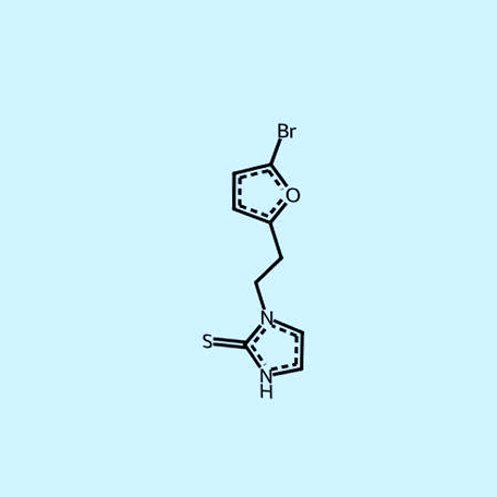 S=c1[nH]ccn1CCc1ccc(Br)o1